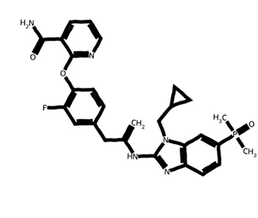 C=C(Cc1ccc(Oc2ncccc2C(N)=O)c(F)c1)Nc1nc2ccc(P(C)(C)=O)cc2n1CC1CC1